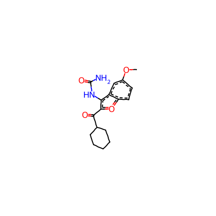 COc1ccc2oc(C(=O)C3CCCCC3)c(NC(N)=O)c2c1